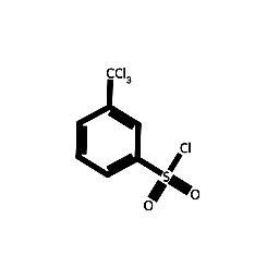 O=S(=O)(Cl)c1cccc(C(Cl)(Cl)Cl)c1